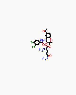 CC(=O)c1ccc2c(c1)[C@H](NC(=O)c1ccc(F)c(Cl)c1)[C@H](OC(=O)[C@@H](N)CCC(N)=O)C(C)(C)O2